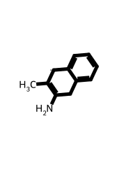 CC1=C(N)Cc2ccccc2[CH]1